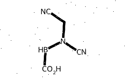 N#CCN(BC(=O)O)C#N